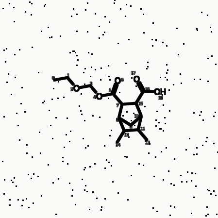 CCOCOC(=O)C1C2CC(C(C)C2C)C1C(=O)O